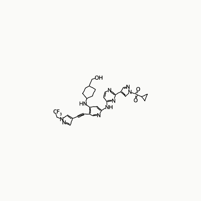 O=S(=O)(C1CC1)n1cc(-c2nccc(Nc3cc(NC4CCC(CO)CC4)c(C#Cc4cnn(CC(F)(F)F)c4)cn3)n2)cn1